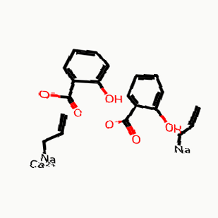 C=C[CH2][Na].C=C[CH2][Na].O=C([O-])c1ccccc1O.O=C([O-])c1ccccc1O.[Ca+2]